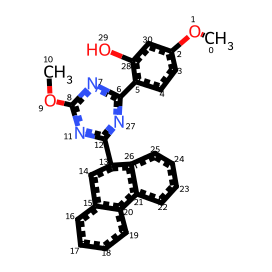 COc1ccc(-c2nc(OC)nc(-c3cc4ccccc4c4ccccc34)n2)c(O)c1